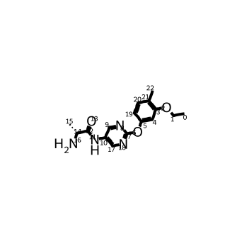 CCOc1cc(Oc2ncc(NC(=O)[C@@H](C)N)cn2)ccc1C